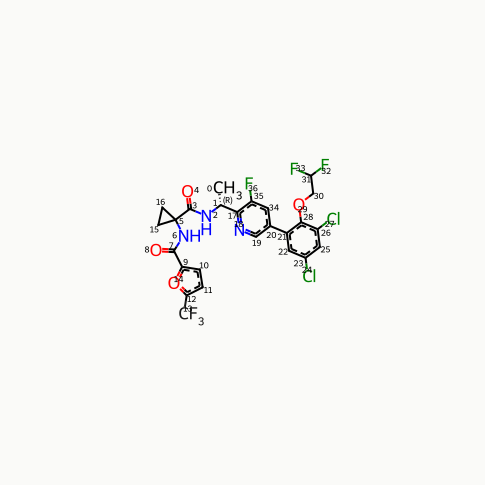 C[C@@H](NC(=O)C1(NC(=O)c2ccc(C(F)(F)F)o2)CC1)c1ncc(-c2cc(Cl)cc(Cl)c2OCC(F)F)cc1F